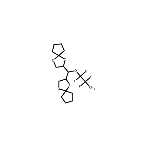 CC(F)(F)C(F)(F)OC(C1COC2(CCCC2)O1)C1COC2(CCCC2)O1